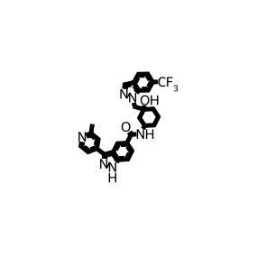 Cc1cc(-c2n[nH]c3ccc(C(=O)NC4CCCC(O)(Cn5ncc6ccc(C(F)(F)F)cc65)C4)cc23)ccn1